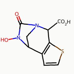 O=C(O)C1c2sccc2C2CN1C(=O)N2O